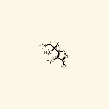 CCc1n[nH]c(C(C)(C)CN)c1C